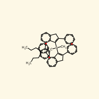 CCCc1ccccc1-c1cccc2c1C([Si](C)(C)C1=C(c3ccccc3)[CH]c3cccc(-c4ccccc4CCC)c31)=C(c1ccccc1)[CH]2